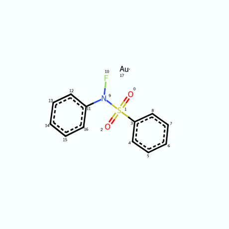 O=S(=O)(c1ccccc1)N(F)c1ccccc1.[Au]